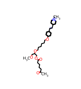 COCC(COC(=O)CCCCC(C)=O)OCCCCCCOc1ccc(/C=C/c2cc[n+](C)cc2)cc1